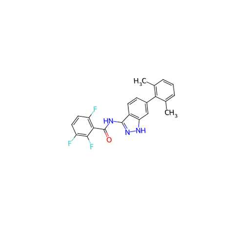 Cc1cccc(C)c1-c1ccc2c(NC(=O)c3c(F)ccc(F)c3F)n[nH]c2c1